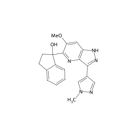 COc1cc2[nH]nc(-c3cnn(C)c3)c2nc1C1(O)CCc2ccccc21